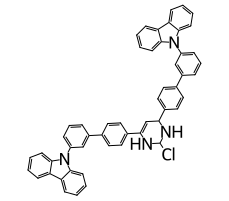 ClC1NC(c2ccc(-c3cccc(-n4c5ccccc5c5ccccc54)c3)cc2)=CC(c2ccc(-c3cccc(-n4c5ccccc5c5ccccc54)c3)cc2)N1